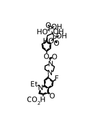 CCn1cc(C(=O)O)c(=O)c2cc(F)c(N3CCN(C(=O)Oc4ccc(CC(O)(P(=O)(O)O)P(=O)(O)O)cc4)CC3)cc21